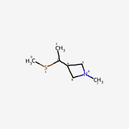 CSC(C)C1CN(C)C1